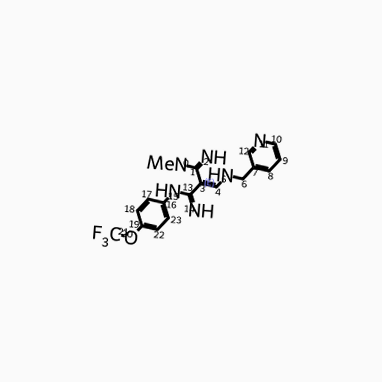 CNC(=N)/C(=C\NCc1cccnc1)C(=N)Nc1ccc(OC(F)(F)F)cc1